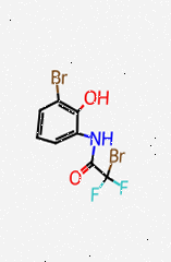 O=C(Nc1cccc(Br)c1O)C(F)(F)Br